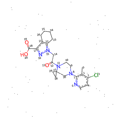 Cc1c(Cl)ccnc1N1CCN(C(=O)Cn2nc(C(=O)O)c3c2CCCC3)C2(CC2)C1